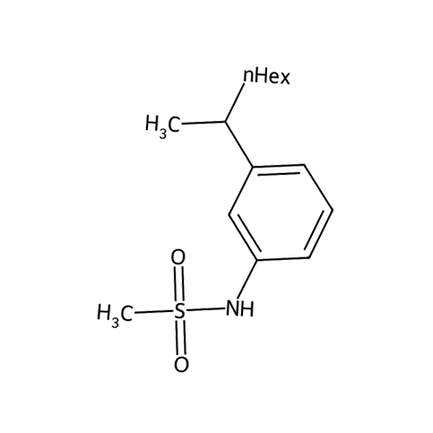 CCCCCCC(C)c1cccc(NS(C)(=O)=O)c1